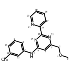 COCc1cc(Nc2cccc(Cl)c2)nc(-c2ccccn2)n1